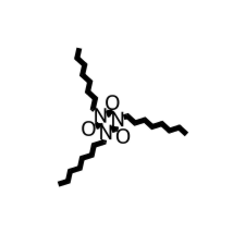 CCCCCCCCn1c(=O)n(CCCCCCCC)c(=O)n(CCCCCCCC)c1=O